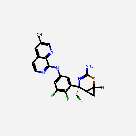 N#Cc1cnc2c(Nc3cc(F)c(F)c([C@@]4(CF)N=C(N)S[C@@H]5CC54)c3)nccc2c1